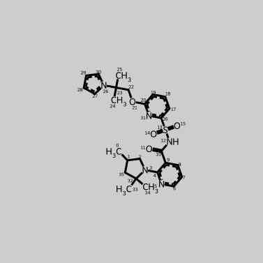 CC1CN(c2ncccc2C(=O)NS(=O)(=O)c2cccc(OCC(C)(C)n3cccc3)n2)C(C)(C)C1